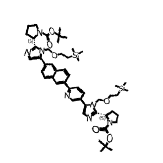 CC(C)(C)OC(=O)N1CCC[C@H]1c1ncc(-c2ccc(-c3ccc4cc(-c5cnc([C@@H]6CCCN6C(=O)OC(C)(C)C)n5COCC[Si](C)(C)C)ccc4c3)nc2)n1COCC[Si](C)(C)C